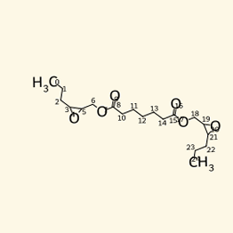 CCCC1OC1COC(=O)CCCCCC(=O)OCC1OC1CCC